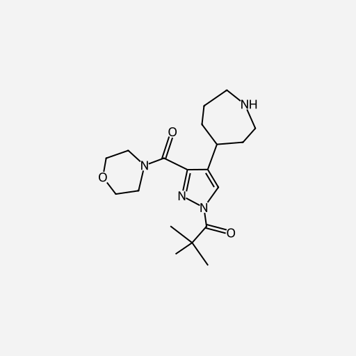 CC(C)(C)C(=O)n1cc(C2CCCNCC2)c(C(=O)N2CCOCC2)n1